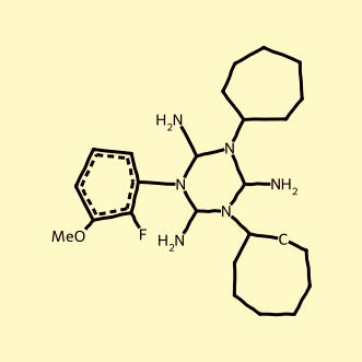 COc1cccc(N2C(N)N(C3CCCCCCC3)C(N)N(C3CCCCCC3)C2N)c1F